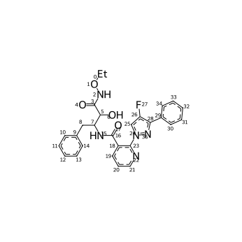 CCONC(=O)C(O)C(Cc1ccccc1)NC(=O)c1cccnc1-n1cc(F)c(-c2ccccc2)n1